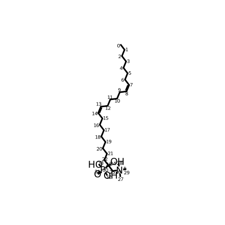 CCCCCCC/C=C\CCCC/C=C\CCCCCCCCC(O)(C[N+](C)(C)C)P(=O)(O)O